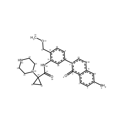 Bc1ccc2c(=O)n(-c3ccc(COC)c(NC(=O)C4(N5CCNCC5)CC4)c3)cnc2c1